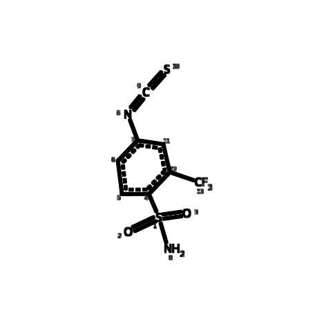 NS(=O)(=O)c1ccc(N=C=S)cc1C(F)(F)F